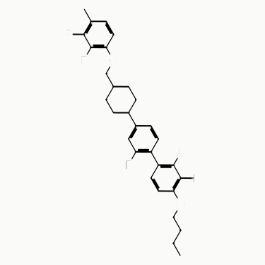 CCCCOc1ccc(-c2ccc(C3CCC(COc4ccc(C)c(F)c4F)CC3)cc2F)c(F)c1F